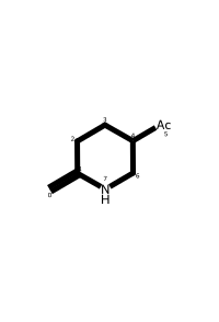 C=C1CCC(C(C)=O)CN1